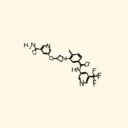 Cc1ccc(C(=O)Nc2cncc(C(F)(F)F)c2)cc1N1CC(Oc2cncc(C(N)=O)c2)C1